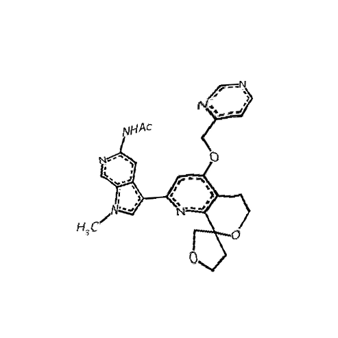 CC(=O)Nc1cc2c(-c3cc(OCc4ccncn4)c4c(n3)C3(CCOC3)OCC4)cn(C)c2cn1